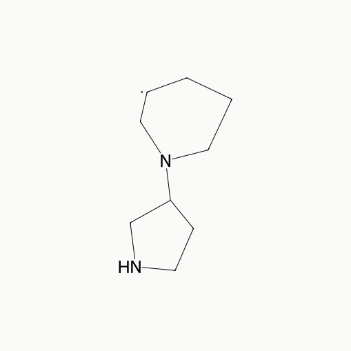 [CH]1CCCN(C2CCNC2)C1